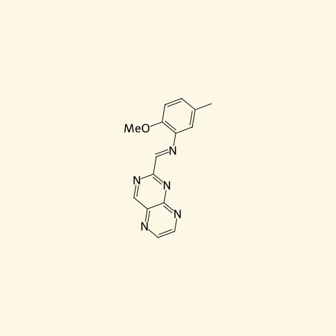 COc1ccc(C)cc1N=Cc1ncc2nccnc2n1